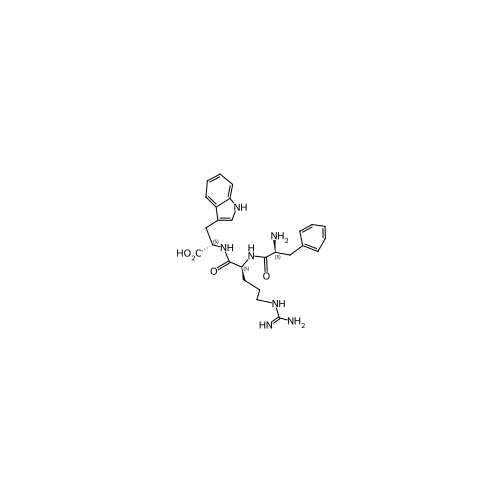 N=C(N)NCCC[C@H](NC(=O)[C@@H](N)Cc1ccccc1)C(=O)N[C@@H](Cc1c[nH]c2ccccc12)C(=O)O